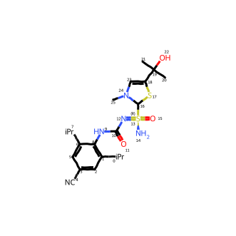 CC(C)c1cc(C#N)cc(C(C)C)c1NC(=O)N=[S@@](N)(=O)C1SC(C(C)(C)O)=CN1C